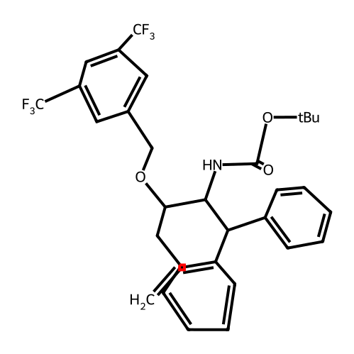 C=CCC(OCc1cc(C(F)(F)F)cc(C(F)(F)F)c1)C(NC(=O)OC(C)(C)C)C(c1ccccc1)c1ccccc1